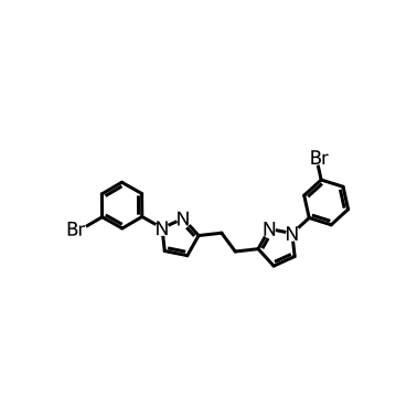 Brc1cccc(-n2ccc(CCc3ccn(-c4cccc(Br)c4)n3)n2)c1